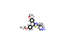 COc1ccc(-c2nc(C3(C)CCNCC3)sc2-c2ccc(OC)cc2)cc1